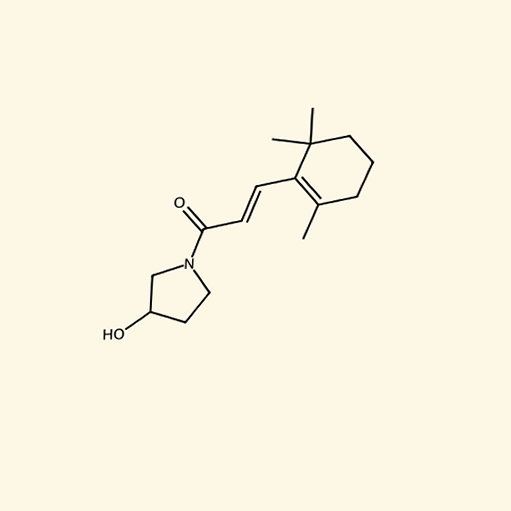 CC1=C(/C=C/C(=O)N2CCC(O)C2)C(C)(C)CCC1